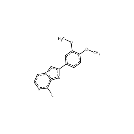 COc1ccc(-c2cn3ccnc(Cl)c3n2)cc1OC